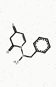 CN(Cc1ccccc1)N1C=CC(=S)CC1=O